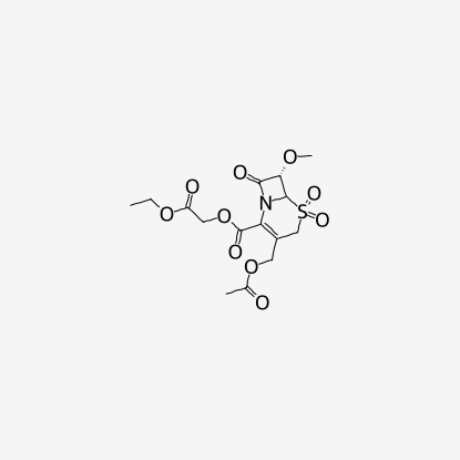 CCOC(=O)COC(=O)C1=C(COC(C)=O)CS(=O)(=O)C2[C@@H](OC)C(=O)N12